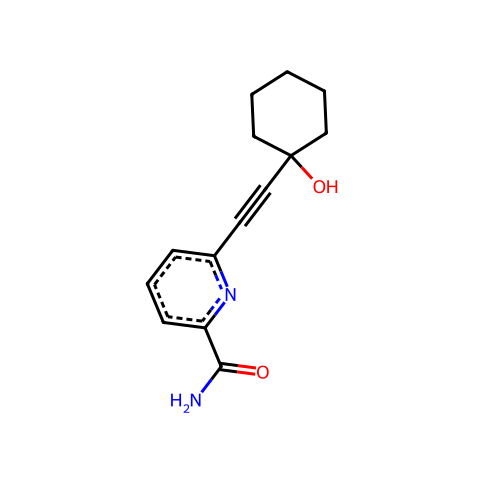 NC(=O)c1cccc(C#CC2(O)CCCCC2)n1